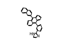 c1cc(-c2ncc[nH]2)cc(-c2c3ccccc3c(-c3ccc4ccccc4c3)c3ccccc23)c1